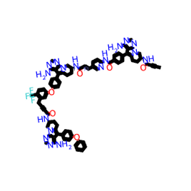 CC#CC(=O)N[C@@H]1CCc2c(-c3ccc(C(=O)Nc4ccc(/C=C/C(=O)N[C@@H]5CCc6c(-c7ccc(Oc8ccc(C(F)(F)F)c(CC#CC(=O)N[C@@H]9CCc%10c(-c%11ccc(Oc%12ccccc%12)cc%11)c%11c(N)ncnc%11n%10C9)c8)cc7)c7c(N)ncnc7n6C5)cn4)cc3)c3c(N)ncnc3n2C1